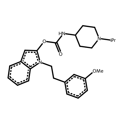 COc1cccc(CCn2c(OC(=O)NC3CCN(C(C)C)CC3)cc3ccccc32)c1